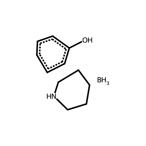 B.C1CCNCC1.Oc1ccccc1